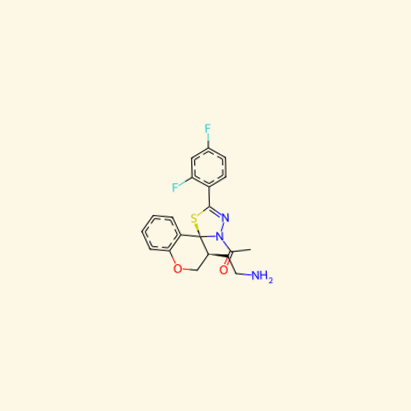 CC(=O)N1N=C(c2ccc(F)cc2F)S[C@@]12c1ccccc1OC[C@@H]2CCN